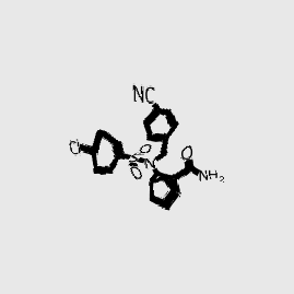 N#Cc1ccc(CN(C2C3CCC(C3)C2C(N)=O)S(=O)(=O)c2ccc(Cl)cc2)cc1